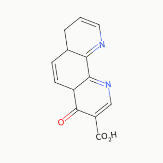 O=C(O)C1=CN=C2C3=NC=CCC3C=CC2C1=O